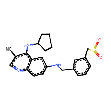 N#Cc1cnc2ccc(NCc3cccc(C[SH](=O)=O)c3)cc2c1NC1CCCC1